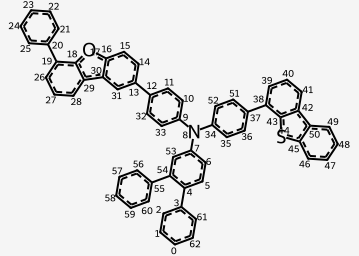 c1ccc(-c2ccc(N(c3ccc(-c4ccc5oc6c(-c7ccccc7)cccc6c5c4)cc3)c3ccc(-c4cccc5c4sc4ccccc45)cc3)cc2-c2ccccc2)cc1